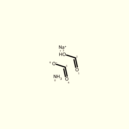 N.O=CO.O=C[O-].[Na+]